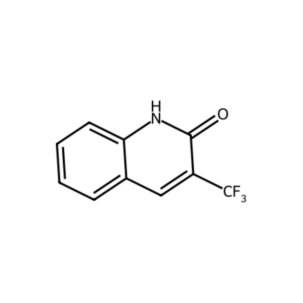 O=c1[nH]c2ccccc2cc1C(F)(F)F